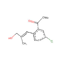 COC(=O)c1cc(Cl)ccc1/C=C(\C)CO